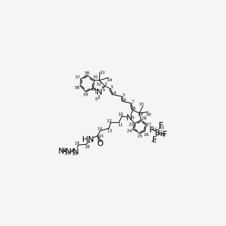 C[N+]1=C(C=C/C=C/C=C2\N(CCCCCC(=O)NCCN=[N+]=[N-])c3ccccc3C2(C)C)C(C)(C)c2ccccc21.F[B-](F)(F)F